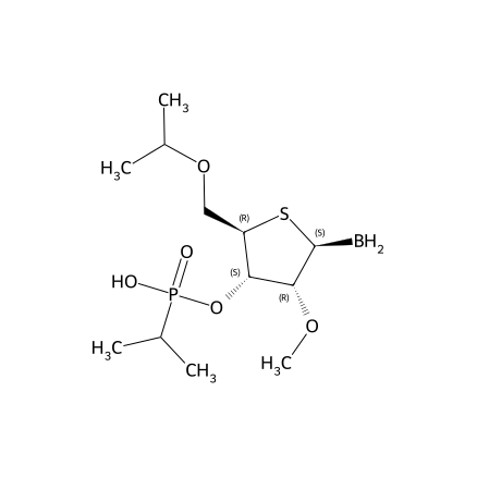 B[C@@H]1S[C@H](COC(C)C)[C@@H](OP(=O)(O)C(C)C)[C@H]1OC